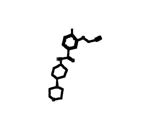 C#CCOc1cc(C(=O)N[C@H]2CC[C@H](N3CCOCC3)CC2)ccc1C